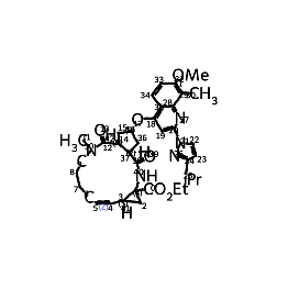 CCOC(=O)[C@@]12C[C@H]1/C=C\CCCCN(C)C(=O)[C@@H]1C[C@H](Oc3cc(-n4ccc(C(C)C)n4)nc4c(C)c(OC)ccc34)C[C@H]1C(=O)N2